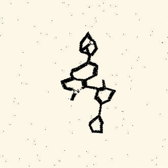 Cc1ccc(C2CCCC2)cc1-c1c2ccc(C3CC4CCC3CC4)cc2cc[n+]1C